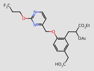 CCOC(=O)C(Cc1cc(CC(=O)O)ccc1OCc1ccnc(OCCC(F)(F)F)n1)OC(C)=O